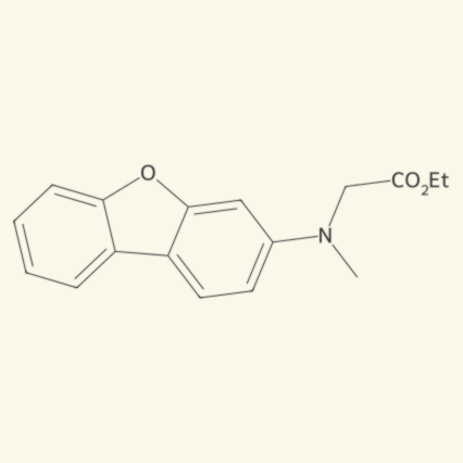 CCOC(=O)CN(C)c1ccc2c(c1)oc1ccccc12